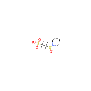 CC(C)([S+]([O-])N1CCCCC1)C(C)(C)S(=O)(=O)O